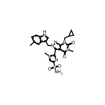 Cc1ccc2[nH]cc(Cn3nc4c(c3-c3nc(S(N)(=O)=O)cn3C)c(=O)n(C)c(=O)n4CC3CC3)c2c1